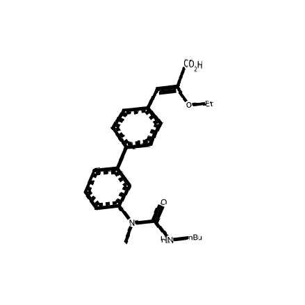 CCCCNC(=O)N(C)c1cccc(-c2ccc(C=C(OCC)C(=O)O)cc2)c1